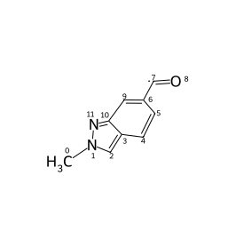 Cn1cc2ccc([C]=O)cc2n1